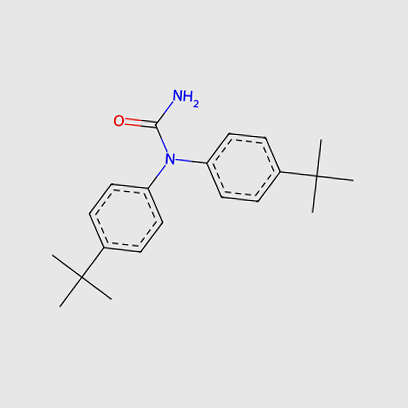 CC(C)(C)c1ccc(N(C(N)=O)c2ccc(C(C)(C)C)cc2)cc1